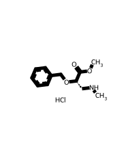 CNC[C@H](OCc1ccccc1)C(=O)OC.Cl